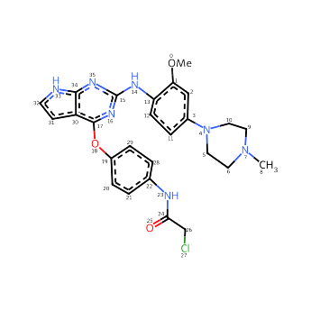 COc1cc(N2CCN(C)CC2)ccc1Nc1nc(Oc2ccc(NC(=O)CCl)cc2)c2cc[nH]c2n1